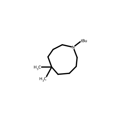 CC1(C)CCCCN(C(C)(C)C)CCC1